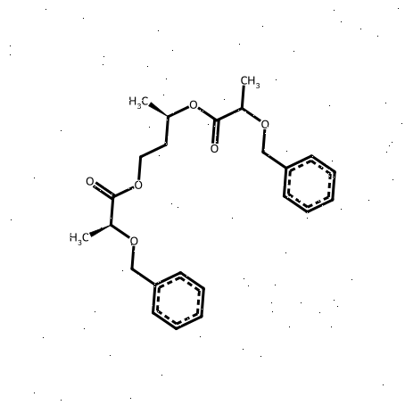 CC(OCc1ccccc1)C(=O)O[C@H](C)CCOC(=O)[C@H](C)OCc1ccccc1